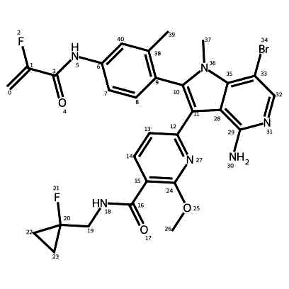 C=C(F)C(=O)Nc1ccc(-c2c(-c3ccc(C(=O)NCC4(F)CC4)c(OC)n3)c3c(N)ncc(Br)c3n2C)c(C)c1